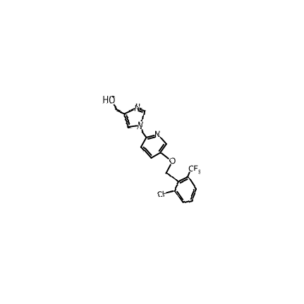 OCc1cn(-c2ccc(OCc3c(Cl)cccc3C(F)(F)F)cn2)cn1